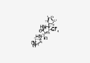 O=C(N[C@@H]1C=CS(=O)(=O)C1)c1cc(C(F)(F)F)c(-c2ccccc2)[nH]c1=O